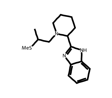 CSC(C)CN1CCCCC1c1nc2ccccc2[nH]1